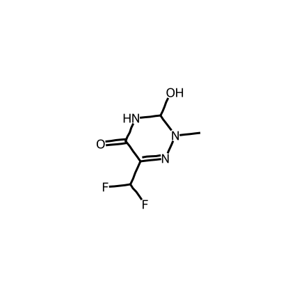 CN1N=C(C(F)F)C(=O)NC1O